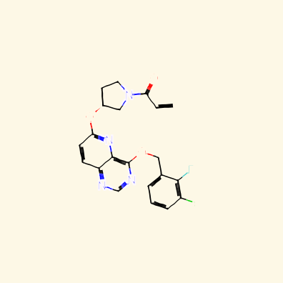 C=CC(=O)N1CC[C@H](Oc2ccc3ncnc(O[C@H](C)c4cccc(Cl)c4F)c3n2)C1